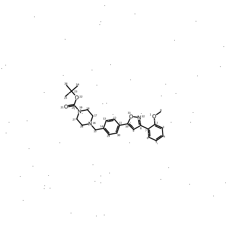 COc1ccccc1-c1cc(-c2ccc(CN3CCN(C(=O)OC(C)(C)C)CC3)cc2)on1